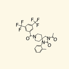 CC(=O)N1CC2(CCN(C(=O)c3cc(C(F)(F)F)cc(C(F)(F)F)c3)CC2)N(c2ccccc2C)C1=O